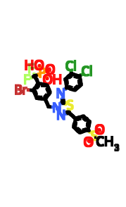 CS(=O)(=O)c1ccc(-c2nn(Cc3ccc(C(F)(F)P(=O)(O)O)c(Br)c3)c(=Nc3ccc(Cl)c(Cl)c3)s2)cc1